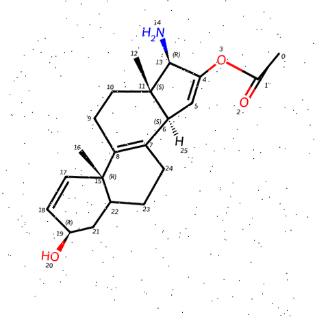 CC(=O)OC1=C[C@H]2C3=C(CC[C@]2(C)[C@H]1N)[C@@]1(C)C=C[C@H](O)CC1CC3